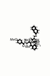 COC1CCC(C(=O)NCC(O)C(NC(=O)[C@@H](CSc2ccc3ccccc3c2)NS(C)(=O)=O)C(c2ccccc2)C(C)(C)C)CC1